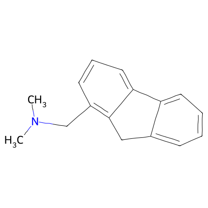 CN(C)Cc1cccc2c1Cc1ccccc1-2